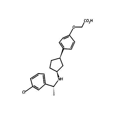 C[C@@H](N[C@H]1CC[C@@H](c2ccc(OCC(=O)O)cc2)C1)c1cccc(Cl)c1